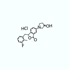 Cc1c(F)cccc1CC1OC(=O)c2cc(N3CC[C@@H](O)C3)ccc21.Cl